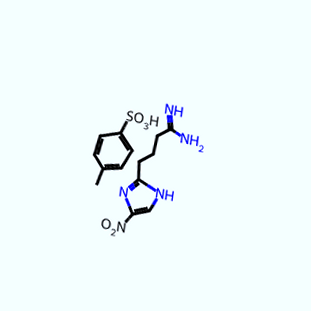 Cc1ccc(S(=O)(=O)O)cc1.N=C(N)CCCc1nc([N+](=O)[O-])c[nH]1